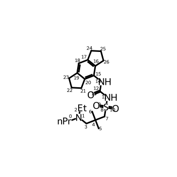 CCCN(CC)CC(C)(C)CS(=O)(=O)NC(=O)Nc1c2c(cc3c1CCC3)CCC2